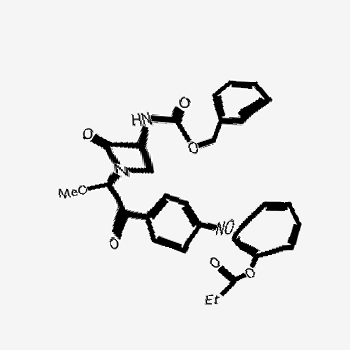 CCC(=O)Oc1ccccc1.COC(C(=O)c1ccc([N+](=O)[O-])cc1)N1CC(NC(=O)OCc2ccccc2)C1=O